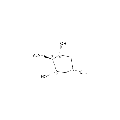 CC(=O)N[C@H]1[C@H](O)CN(C)C[C@@H]1O